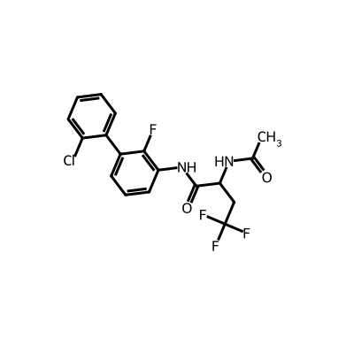 CC(=O)NC(CC(F)(F)F)C(=O)Nc1cccc(-c2ccccc2Cl)c1F